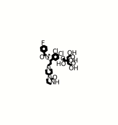 CN(C[C@@H](CCN1CCC(N2CCCNC2=O)CC1)c1ccc(Cl)c(Cl)c1)C(=O)c1ccc(F)cc1.O=C(O)CC(O)(CC(=O)O)C(=O)O